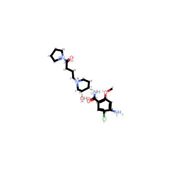 COc1cc(N)c(Cl)cc1C(=O)N[C@H]1CCN(CCCC(=O)N2CCCC2)C[C@H]1O